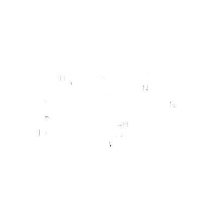 CC(=Cc1csc(CC#N)n1)[C@@H]1C[C@@H]2O[C@]2(C)CCC[C@H](C)C(O)[C@@H](C)C(=O)C(C)(C)[C@@H](O)CC(=O)O1